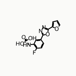 O=P(O)(O)Nc1cc(-c2nnc(-c3ccco3)o2)ccc1F